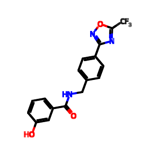 O=C(NCc1ccc(-c2noc(C(F)(F)F)n2)cc1)c1cccc(O)c1